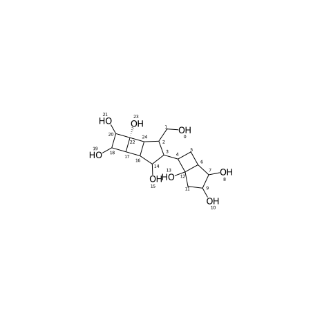 OCC1C(C2CC3C(O)C(O)CC32O)C(O)C2C3C(O)C(O)[C@@]3(O)C12